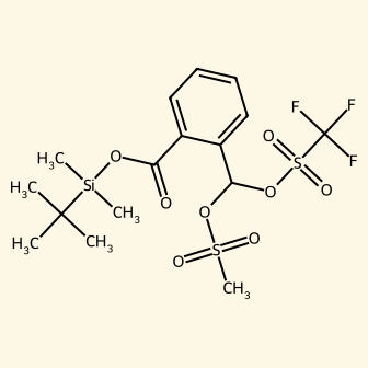 CC(C)(C)[Si](C)(C)OC(=O)c1ccccc1C(OS(C)(=O)=O)OS(=O)(=O)C(F)(F)F